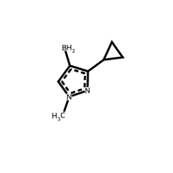 Bc1cn(C)nc1C1CC1